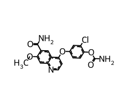 COc1cc2nccc(Oc3ccc(OC(N)=O)c(Cl)c3)c2cc1C(N)=O